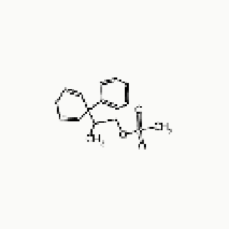 CC(COS(C)(=O)=O)C1(c2ccccc2)C=CCC=C1